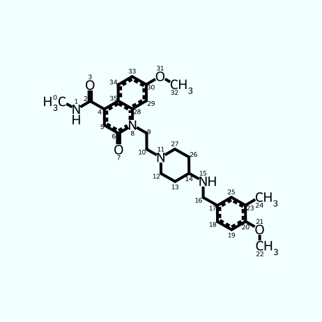 CNC(=O)c1cc(=O)n(CCN2CCC(NCc3ccc(OC)c(C)c3)CC2)c2cc(OC)ccc12